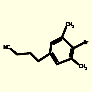 Cc1cc(CCCC#N)cc(C)c1Br